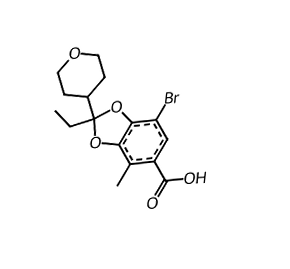 CCC1(C2CCOCC2)Oc2c(Br)cc(C(=O)O)c(C)c2O1